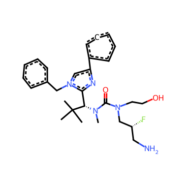 CN(C(=O)N(CCO)C[C@H](F)CN)[C@@H](c1nc(-c2ccccc2)cn1Cc1ccccc1)C(C)(C)C